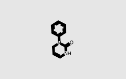 O=C1NC=CCN1c1ccccc1